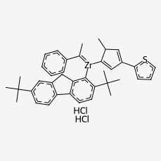 C/[C](c1ccccc1)=[Zr](\[C]1=CC(c2cccs2)=CC1C)[c]1c(C(C)(C)C)ccc2c1Cc1cc(C(C)(C)C)ccc1-2.Cl.Cl